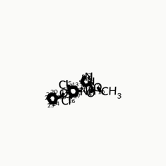 CCOC(=O)c1nnccc1Nc1cc(Cl)c(OCc2ccccc2)c(Cl)c1